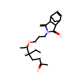 C=C1C2C3C=CC(C3)C2C(=O)N1CCCOC(C)C(C)(CC)CCC(C)=O